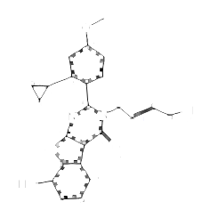 COc1ccc(-c2nc3sc4c(O)cccc4c3c(=O)n2C/C=C/CO)c(C2CC2)c1